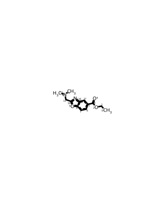 CCOC(=O)c1ccc2oc(CN(C)C)nc2c1